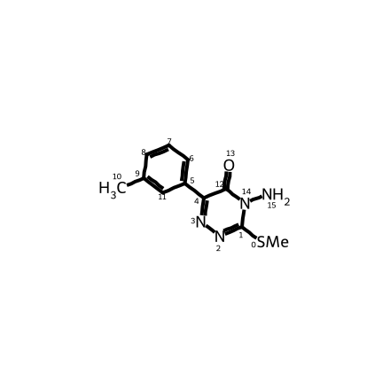 CSc1nnc(-c2cccc(C)c2)c(=O)n1N